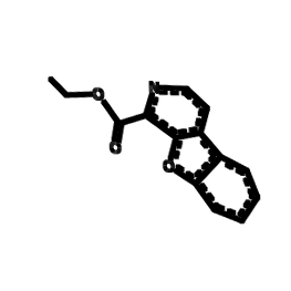 CCOC(=O)c1nccc2c1oc1ccccc12